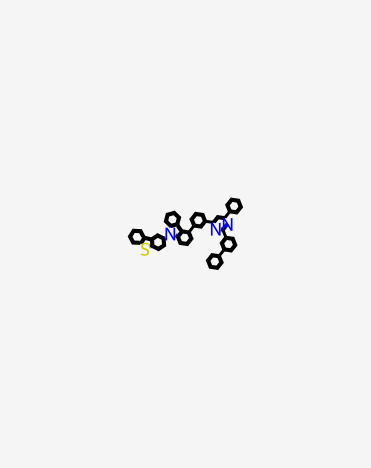 c1ccc(-c2cccc(-c3nc(-c4ccccc4)cc(-c4cccc(-c5cccc6c5c5ccccc5n6-c5ccc6sc7ccccc7c6c5)c4)n3)c2)cc1